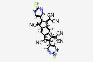 N#CC(C#N)=C1C(c2cnc(F)nc2)=C(C#N)c2cc3c(cc21)C(=C(C#N)C#N)C(c1cnc(F)nc1)=C3C#N